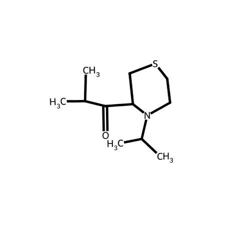 CC(C)C(=O)C1CSCCN1C(C)C